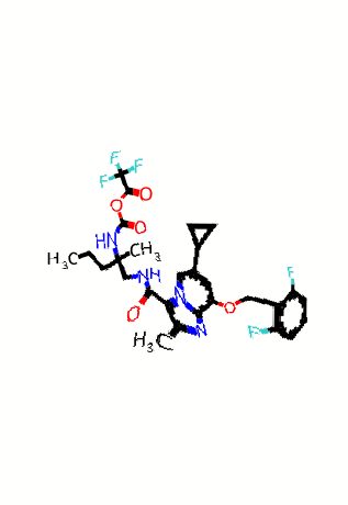 CCCC(C)(CNC(=O)c1c(C)nc2c(OCc3c(F)cccc3F)cc(C3CC3)cn12)NC(=O)OC(=O)C(F)(F)F